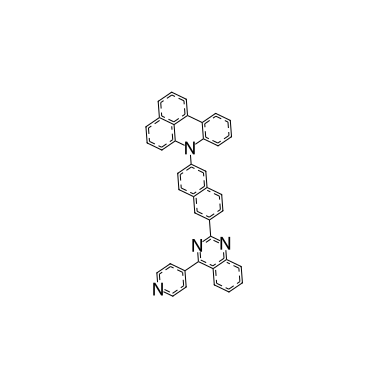 c1ccc2c(c1)-c1cccc3cccc(c13)N2c1ccc2cc(-c3nc(-c4ccncc4)c4ccccc4n3)ccc2c1